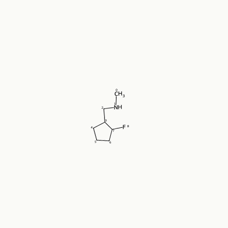 CNCC1CCCC1F